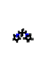 CC(C)(CN1CCCC1)CN1CCCC1